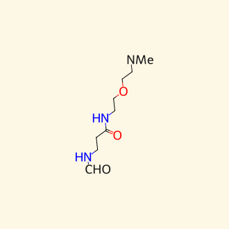 CNCCOCCNC(=O)CCNC=O